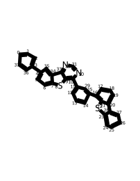 c1ccc(-c2ccc3sc4c(-c5cccc(-c6cccc7c6sc6ccccc67)c5)ncnc4c3c2)cc1